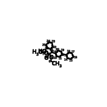 CCOP(=O)(OCC)C(c1ccc(-c2ccccc2)cc1)c1ccccc1O